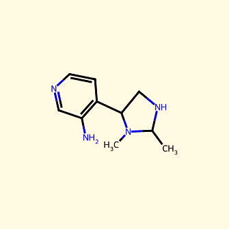 CC1NCC(c2ccncc2N)N1C